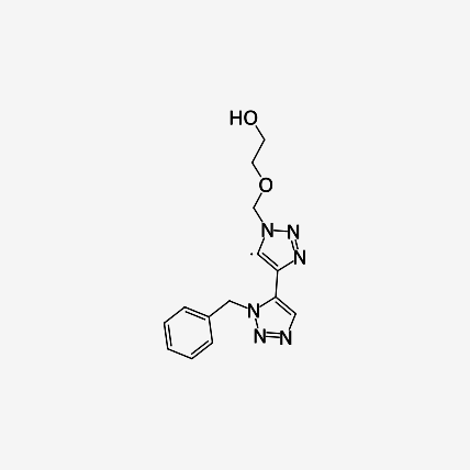 OCCOCn1[c]c(-c2cnnn2Cc2ccccc2)nn1